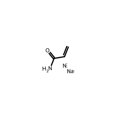 C=CC(N)=O.[N].[Na]